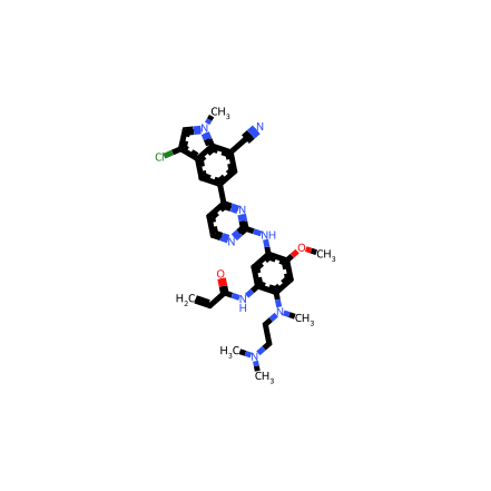 C=CC(=O)Nc1cc(Nc2nccc(-c3cc(C#N)c4c(c3)c(Cl)cn4C)n2)c(OC)cc1N(C)CCN(C)C